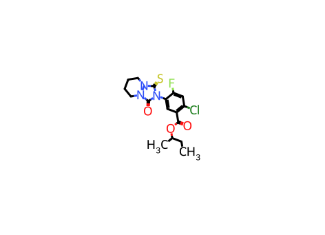 CCC(C)OC(=O)c1cc(-n2c(=O)n3n(c2=S)CCCC3)c(F)cc1Cl